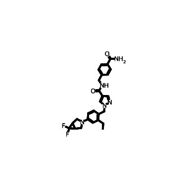 CCc1cc(N2CC3C(C2)C3(F)F)ccc1Cn1cc(C(=O)NCc2ccc(C(N)=O)cc2)cn1